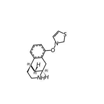 C1=CN(Oc2cccc3c2C[C@H]2NCC[C@@]34CCCC[C@@H]24)CS1